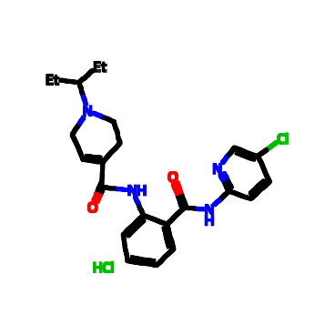 CCC(CC)N1CC=C(C(=O)Nc2ccccc2C(=O)Nc2ccc(Cl)cn2)CC1.Cl